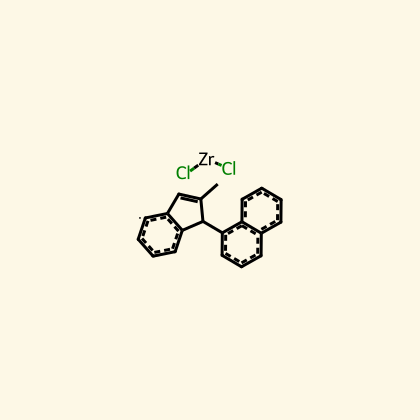 CC1=Cc2[c]cccc2C1c1cccc2ccccc12.[Cl][Zr][Cl]